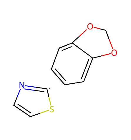 [c]1nccs1.c1ccc2c(c1)OCO2